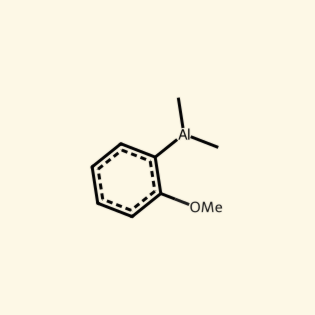 COc1cccc[c]1[Al]([CH3])[CH3]